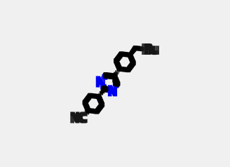 CCC(C)C[C@H]1CC[C@H](c2cnc([C@H]3CC[C@H](C#N)CC3)nc2)CC1